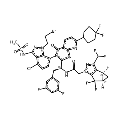 CS(=O)(=O)Nc1nn(CCBr)c2c(-n3c([C@H](Cc4cc(F)cc(F)c4)NC(=O)Cn4nc(C(F)F)c5c4C(F)(F)[C@@H]4C[C@H]54)nc4nc(C5CCC(F)(F)CC5)ccc4c3=O)ccc(Cl)c12